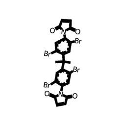 CC(C)(c1cc(Br)c(N2C(=O)C=CC2=O)cc1Br)c1cc(Br)c(N2C(=O)C=CC2=O)cc1Br